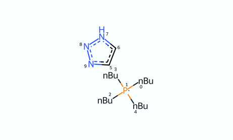 CCCC[P](CCCC)(CCCC)CCCC.c1c[nH]nn1